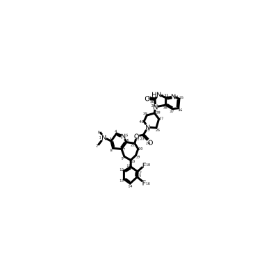 CN(C)c1cnc2c(c1)CC(c1cccc(F)c1F)CCC2OC(=O)N1CCC(n2c(=O)[nH]c3ncccc32)CC1